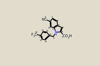 N#Cc1ccc2cc(C(=O)O)n(Cc3ccc(C(F)(F)F)cc3)c2c1